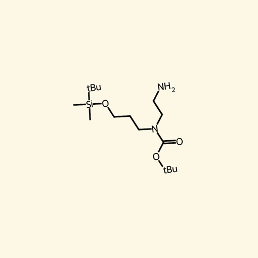 CC(C)(C)OC(=O)N(CCN)CCCO[Si](C)(C)C(C)(C)C